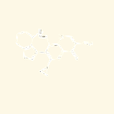 COc1c(-c2csc3c2C(N)CCC3)c(C2CC2)cc2c(=O)c(C(=O)O)c[nH]c12